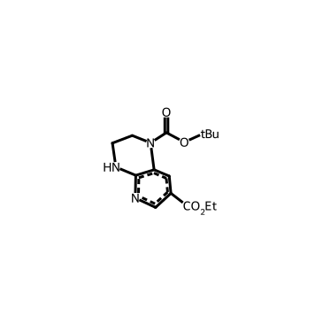 CCOC(=O)c1cnc2c(c1)N(C(=O)OC(C)(C)C)CCN2